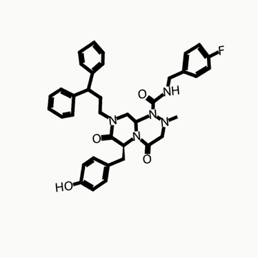 CN1CC(=O)N2C(CN(CCC(c3ccccc3)c3ccccc3)C(=O)[C@@H]2Cc2ccc(O)cc2)N1C(=O)NCc1ccc(F)cc1